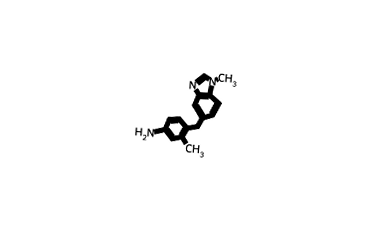 Cc1cc(N)ccc1Cc1ccc2c(c1)ncn2C